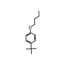 CCCCOc1[c]cc(C(C)(C)C)cc1